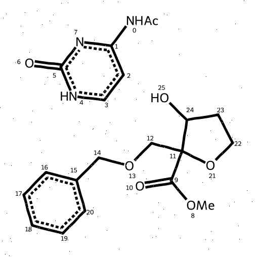 CC(=O)Nc1cc[nH]c(=O)n1.COC(=O)C1(COCc2ccccc2)OCCC1O